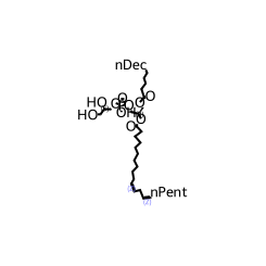 CCCCC/C=C\C/C=C\CCCCCCCCCC(=O)O[C@H](COC(=O)CCCCCCCCCCCCCC)COP(=O)(O)OC[C@@H](O)CO